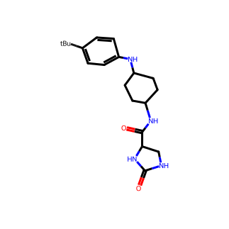 CC(C)(C)c1ccc(NC2CCC(NC(=O)C3CNC(=O)N3)CC2)cc1